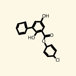 O=C(OC1C=CC(Cl)C=C1)c1cc(O)cc(-c2ccccc2)c1O